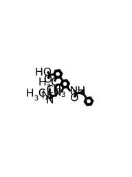 Cc1c(C(=O)O)cccc1-c1ccc(CNC(=O)C2CC2c2ccccc2)c2c1CCN(Cc1ncn(C)c1C)C2